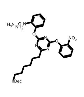 CCCCCCCCCCCCCCCCc1nc(Oc2ccccc2[N+](=O)[O-])nc(Oc2ccccc2[N+](=O)[O-])n1.N.N